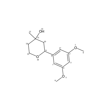 COc1cc(OC)cc(C2CC(C)(O)CCO2)c1